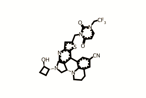 N#Cc1cc2c(c(-c3ccnc4cc(Cn5c(=O)ccn(CC(F)(F)F)c5=O)sc34)c1)N([C@H]1CCN([C@@H]3CC[C@H]3O)C1)CCC2